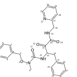 CN(OCc1ccccc1)C(=O)NC(Cc1ccccc1)C(=O)C(=O)NCc1ccccn1